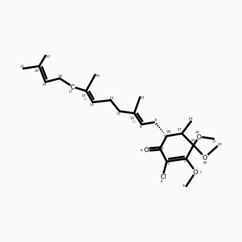 COC1=C(Cl)C(=O)[C@H](C/C=C(\C)CC/C=C(\C)CCC=C(C)C)C(C)C1(OC)OC